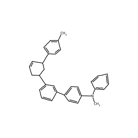 Cc1ccc(C2C=CCC(c3cccc(-c4ccc(N(C)c5ccccc5)cc4)c3)C2)cc1